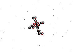 c1ccc(-c2ccc(-c3ccc(N(c4ccc(-c5cccc6ccccc56)cc4)c4ccccc4-c4ccccc4N(c4ccc(-c5ccc6ccccc6c5)cc4)c4ccc(-c5ccc6c(c5)sc5c(-c7ccccc7)cccc56)cc4)cc3)c3ccccc23)cc1